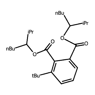 CCCCC(OC(=O)c1cccc(C(C)(C)C)c1C(=O)OC(CCCC)C(C)C)C(C)C